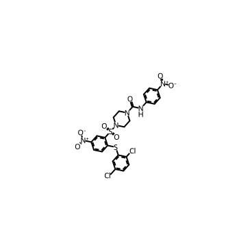 O=C(Nc1ccc([N+](=O)[O-])cc1)N1CCN(S(=O)(=O)c2cc([N+](=O)[O-])ccc2Sc2cc(Cl)ccc2Cl)CC1